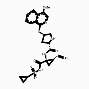 C=C[C@@H]1C[C@]1(NC(=O)[C@@H]1C[C@@H](Oc2ncc(OC)c3ccccc23)CN1)C(=O)NS(=O)(=O)C1CC1